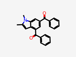 Cc1cc2c(C(=O)c3ccccc3)cc(C(=O)c3ccccc3)cc2n1C